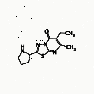 CCc1c(C)nc2sc(C3CCCN3)nn2c1=O